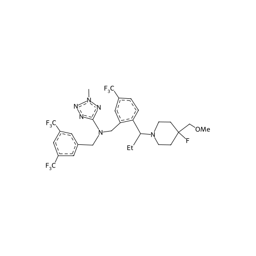 CCC(c1ccc(C(F)(F)F)cc1CN(Cc1cc(C(F)(F)F)cc(C(F)(F)F)c1)c1nnn(C)n1)N1CCC(F)(COC)CC1